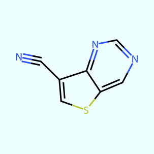 N#Cc1csc2cncnc12